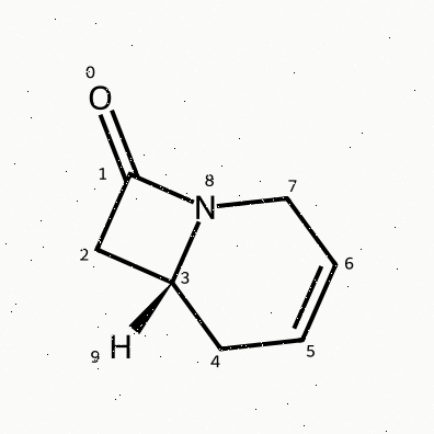 O=C1C[C@H]2CC=CCN12